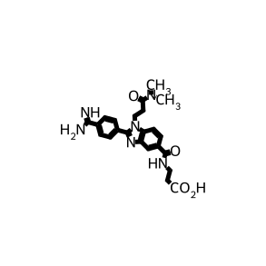 CN(C)C(=O)CCn1c(-c2ccc(C(=N)N)cc2)nc2cc(C(=O)NCCC(=O)O)ccc21